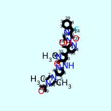 C[C@@H]1CN(c2ccc(Nc3cc(-c4ccnc(N5CCn6c7c(c(F)c6C5=O)CCCC7)c4CO)cn(C)c3=O)nc2)[C@@H](C)CN1C1COC1